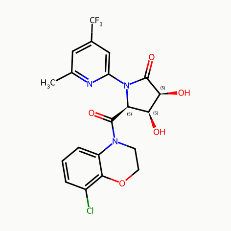 Cc1cc(C(F)(F)F)cc(N2C(=O)[C@@H](O)[C@@H](O)[C@H]2C(=O)N2CCOc3c(Cl)cccc32)n1